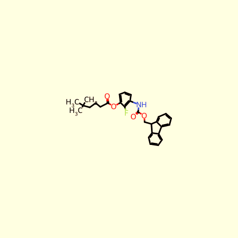 CC(C)(C)CCCC(=O)Oc1cccc(NC(=O)OCC2c3ccccc3-c3ccccc32)c1F